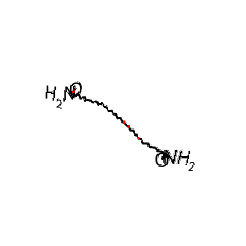 NC(=O)CCCCCCCCCCCCCCCCCCCCCCCCCCCCCCCCCCC(N)=O